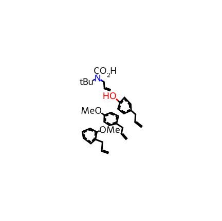 C=CCN(C(=O)O)C(C)(C)C.C=CCc1ccc(O)cc1.C=CCc1ccc(OC)cc1.C=CCc1ccccc1OC